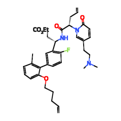 C=CCCCOc1cccc(C)c1-c1ccc(F)c([C@H](CC(=O)OCC)NC(=O)[C@H](CC=C)n2cc(CCN(C)C)ccc2=O)c1